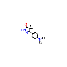 CCN(CC)c1ccc(C2=NNC(=O)C2(C)C)cc1